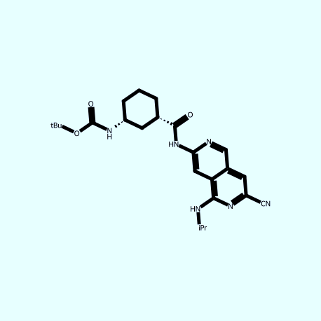 CC(C)Nc1nc(C#N)cc2cnc(NC(=O)[C@H]3CCC[C@@H](NC(=O)OC(C)(C)C)C3)cc12